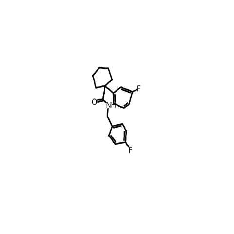 O=C(NCc1ccc(F)cc1)C1(c2cccc(F)c2)CCCCC1